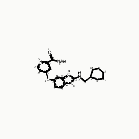 CNC(=O)c1cc(Oc2ccc3nc(NCC4CCCCC4)oc3c2)ccn1